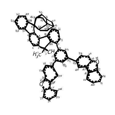 CC1(C)c2ccc3c(c2-c2cccc(-c4cc(-c5ccc6oc7ccccc7c6c5)cc(-c5ccc6oc7ccccc7c6c5)c4)c21)C1(c2ccccc2-3)C2CC3CC(C2)CC1C3